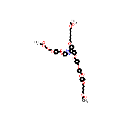 C=CC(=O)OCCCCCCCCCOc1ccc2c3ccc(OC(=O)c4ccc(COc5ccc(C(=O)Oc6ccc(OCCCCCCOC(=O)C=C)cc6)cc5)cc4)cc3c3nc4ccc(OC(=O)c5ccc(OCCOCCOC(=O)C=C)cc5)cc4nc3c2c1